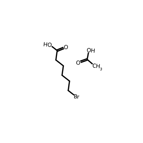 CC(=O)O.O=C(O)CCCCCBr